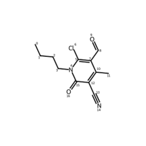 CCCCn1c(Cl)c(C=O)c(C)c(C#N)c1=O